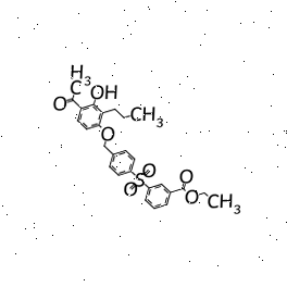 CCCc1c(OCc2ccc(S(=O)(=O)c3cccc(C(=O)OCC)c3)cc2)ccc(C(C)=O)c1O